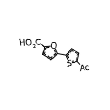 CC(=O)c1ccc(-c2ccc(C(=O)O)o2)s1